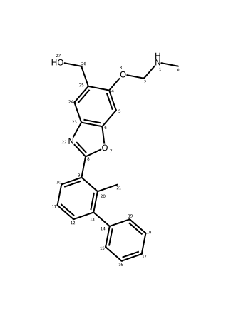 CNCOc1cc2oc(-c3cccc(-c4ccccc4)c3C)nc2cc1CO